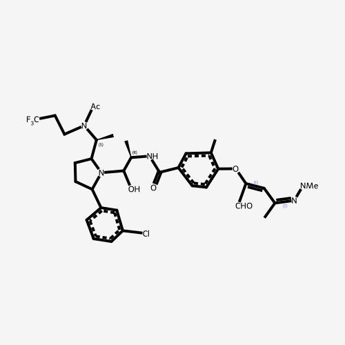 CN/N=C(C)\C=C(/C=O)Oc1ccc(C(=O)N[C@H](C)C(O)N2C(c3cccc(Cl)c3)CCC2[C@H](C)N(CCC(F)(F)F)C(C)=O)cc1C